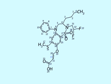 CCCCC1CN(c2ccccc2)c2cc(SC)c(O/C=C/C(=O)O)cc2S(=O)(=O)N1CC(F)F